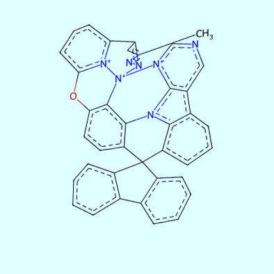 Cc1cc2n(n1)[N+]13c4c(ccc5c4-n4c6c(cccc6c6cnc[n+]1c64)C51c4ccccc4-c4ccccc41)Oc1cccc-2[n+]13